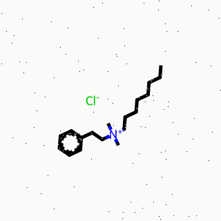 CCCCCCCC[N+](C)(C)CCc1ccccc1.[Cl-]